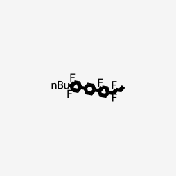 C=C/C(F)=C(\F)c1ccc(C2CCC(c3cc(F)c(CCCC)c(F)c3)CC2)c(F)c1